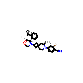 CC(C)c1ccccc1[C@@H]1COCCN1C1CC2(CCN(c3ccc(C#N)c(Br)c3)C(C)C2)C1